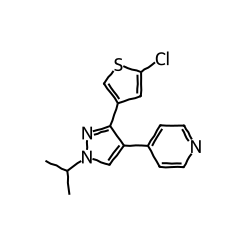 CC(C)n1cc(-c2ccncc2)c(-c2csc(Cl)c2)n1